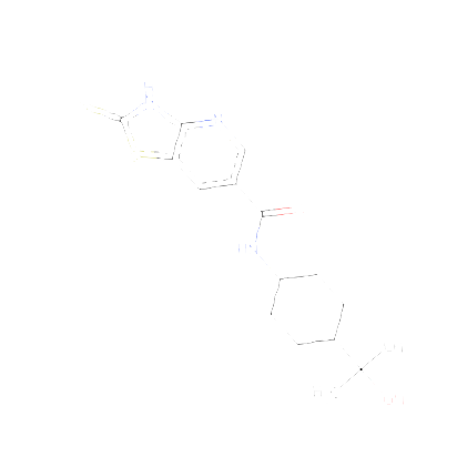 CC(C)(O)C1CCC(NC(=O)c2cnc3[nH]c(=S)sc3c2)CC1